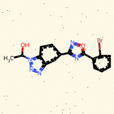 CC(O)n1nnc2cc(-c3noc(-c4ccccc4Br)n3)ccc21